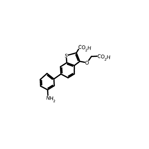 Nc1cccc(-c2ccc3c(OCC(=O)O)c(C(=O)O)sc3c2)c1